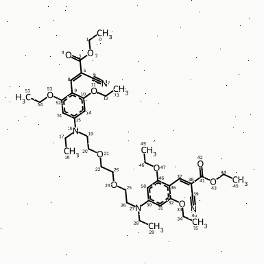 CCOC(=O)/C(C#N)=C/c1c(OCC)cc(N(CC)CCOCCOCCN(CC)c2cc(OCC)c(/C=C(\C#N)C(=O)OCC)c(OCC)c2)cc1OCC